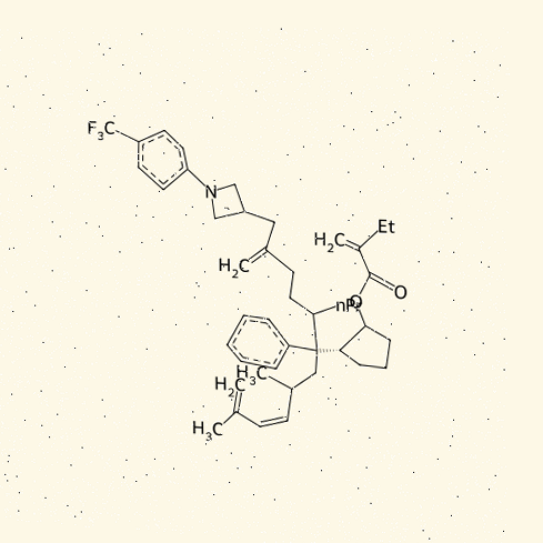 C=C(C)/C=C\C(C)CC(c1ccccc1)(C(CCC)CCC(=C)CC1CN(c2ccc(C(F)(F)F)cc2)C1)[C@H]1CCCC1OC(=O)C(=C)CC